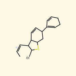 C/C=C\C1C(CC)SC2CC(C3=CCCC=C3)C=CC21